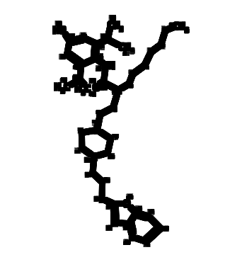 CCCCCCCN(CCN1CCN(CCSc2nc3ncccc3o2)CC1)C(=O)Nc1c(C(C)C)cc(O)cc1C(C)C